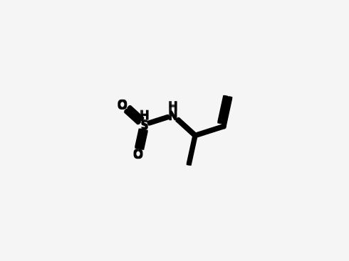 C=CC(C)N[SH](=O)=O